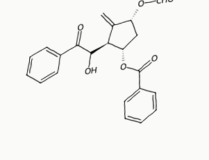 C=C1[C@H](C(O)C(=O)c2ccccc2)[C@@H](OC(=O)c2ccccc2)C[C@H]1OC=O